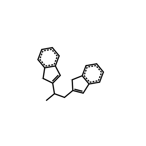 CC(CC1=Cc2ccccc2[CH]1)C1=Cc2ccccc2[CH]1